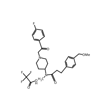 COCc1ccc(CCC(=O)N(C)C2CCN(CC(=O)c3ccc(F)cc3)CC2)cc1.O=C(O)C(F)(F)F